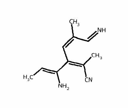 C/C=C(N)/C(/C=C(/C)C=N)=C(/C)C#N